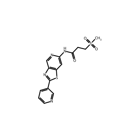 CS(=O)(=O)CCC(=O)Nc1cc2sc(-c3cccnc3)nc2cn1